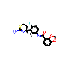 CC1(c2cc(NC(=O)c3cccc4c3OCO4)ccc2F)CCSC(N)=N1